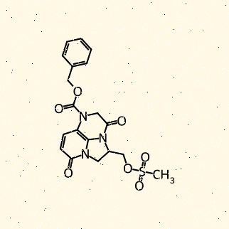 CS(=O)(=O)OCC1Cn2c3c(ccc2=O)N(C(=O)OCc2ccccc2)CC(=O)N31